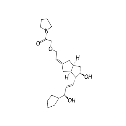 O=C(COCC=C1C[C@H]2C[C@@H](O)[C@H](C=C[C@@H](O)C3CCCC3)[C@H]2C1)N1CCCC1